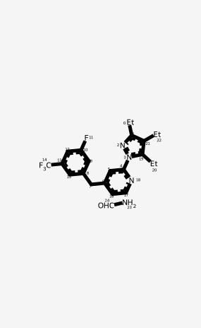 CCc1nn(-c2cc(Cc3cc(F)cc(C(F)(F)F)c3)ccn2)c(CC)c1CC.NC=O